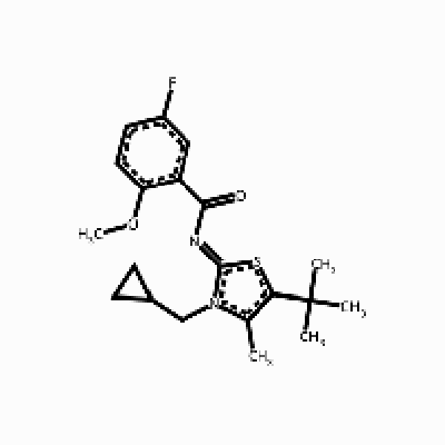 COc1ccc(F)cc1C(=O)/N=c1\sc(C(C)(C)C)c(C)n1CC1CC1